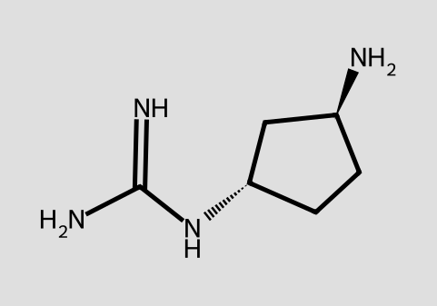 N=C(N)N[C@H]1CC[C@H](N)C1